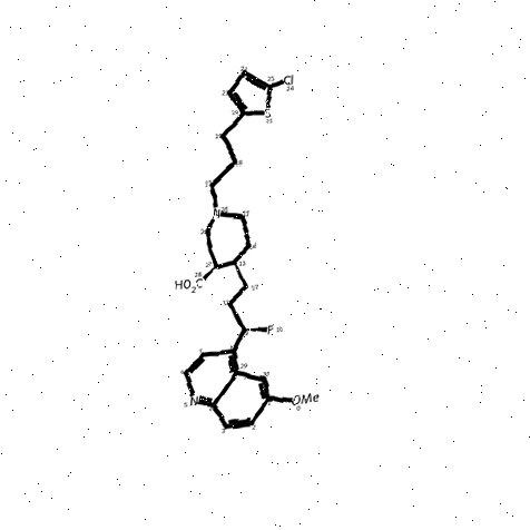 COc1ccc2nccc([C@H](F)CC[C@@H]3CCN(CCCc4ccc(Cl)s4)C[C@@H]3C(=O)O)c2c1